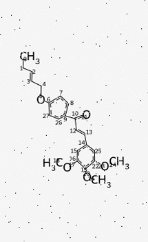 CCC=CCOc1ccc(C(=O)C=Cc2cc(OC)c(OC)c(OC)c2)cc1